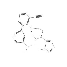 Cn1cnnc1C1CCN(c2c(C#N)cccc2-c2cncc(B(O)O)c2)CC1